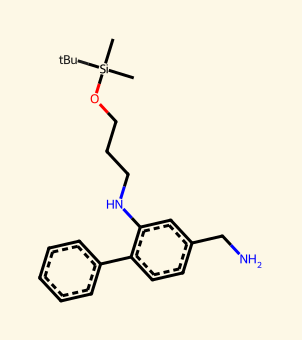 CC(C)(C)[Si](C)(C)OCCCNc1cc(CN)ccc1-c1ccccc1